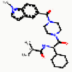 CN[C@@H](C)C(=O)NC(C(=O)N1CCN(C(=O)c2ccc3c(ccn3C)c2)CC1)C1CCCCC1